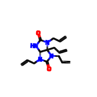 C=CCN1C(=O)N(CC=C)C2(CC=C)C1NC(=O)N2CC=C